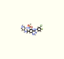 CN1CCC(N(C)C(C)(C)c2cc3ncnc(Nc4ccc(F)c(Cl)c4)c3cc2NS(C)(=O)=O)CC1